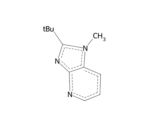 Cn1c(C(C)(C)C)nc2ncccc21